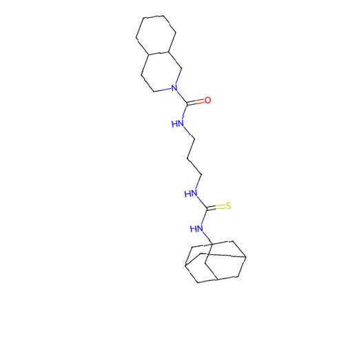 O=C(NCCCNC(=S)NC12CC3CC(CC(C3)C1)C2)N1CCC2CCCCC2C1